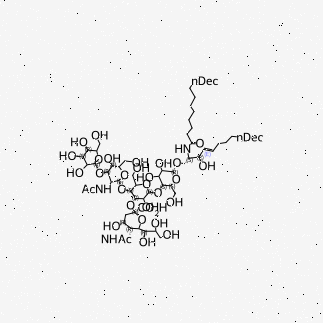 CCCCCCCCCCCCC/C=C/[C@@H](O)[C@H](CO[C@@H]1O[C@@H](CO)[C@@H](O[C@@H]2OC(CO)[C@H](O[C@@H]3OC(CO)[C@H](O)[C@H](O[C@@H]4OC(CO)[C@H](O)[C@H](O)C4O)C3NC(C)=O)[C@H](O[C@]3(C(=O)O)C[C@@H](O)[C@@H](NC(C)=O)C([C@H](O)C(O)CO)O3)C2O)C(O)C1O)NC(=O)CCCCCCCCCCCCCCCCC